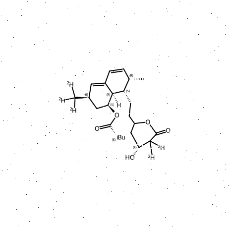 [2H]C([2H])([2H])[C@H]1C=C2C=C[C@H](C)[C@H](CCC3C[C@@H](O)C([2H])([2H])C(=O)O3)[C@H]2[C@@H](OC(=O)[C@@H](C)CC)C1